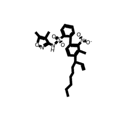 C=CC(CCCCCC)c1ccc(-c2ccccc2S(=O)(=O)Nc2noc(C)c2C)c([N+](=O)[O-])c1C